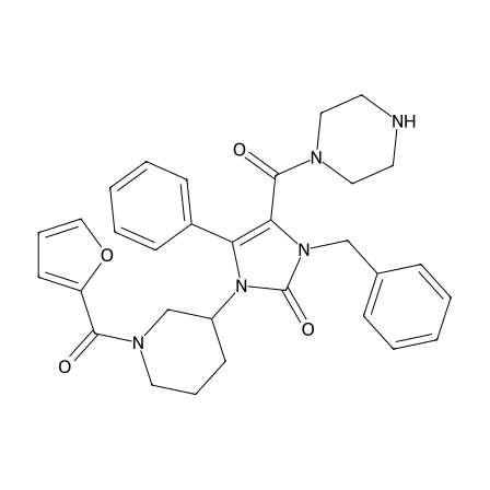 O=C(c1ccco1)N1CCCC(n2c(-c3ccccc3)c(C(=O)N3CCNCC3)n(Cc3ccccc3)c2=O)C1